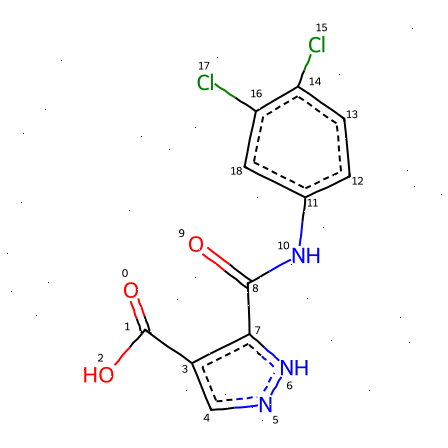 O=C(O)c1cn[nH]c1C(=O)Nc1ccc(Cl)c(Cl)c1